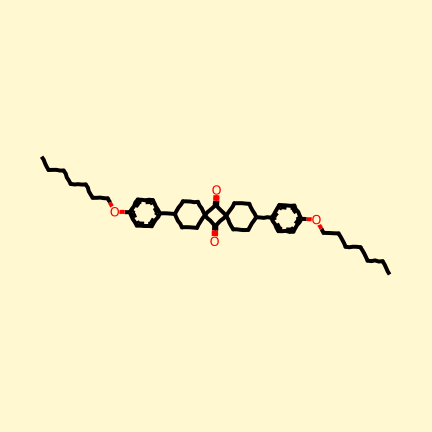 CCCCCCCOc1ccc(C2CCC3(CC2)C(=O)C2(CCC(c4ccc(OCCCCCCC)cc4)CC2)C3=O)cc1